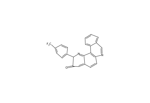 O=C1C=c2ccc3ncc4ccccc4c3c2=NC1c1ccc(C(F)(F)F)cc1